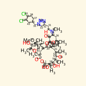 CC[C@H]1OC(=O)[C@H](C)C([C@H]2C[C@@](C)(OC)[C@@H](O)[C@H](C)O2)[C@H](C)[C@@H](O[C@@H]2O[C@H](C)C[C@H](N(C)CCc3cn(Cc4ccc(Cl)c(Cl)c4)nn3)[C@H]2O)[C@](C)(OC)C[C@@H](C)C(=O)[C@H](C)[C@@H](O)[C@]1(C)O